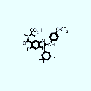 CC(C(=O)O)N(C)C(=O)c1cc2nc(Nc3ccc(OC(F)(F)F)cc3)n([C@@H]3C[C@H](C)CC(C)(C)C3)c2cc1F